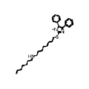 CCCCCCCNCCCCCCCCSc1nc(-c2ccccc2)c(-c2ccccc2)[nH]1